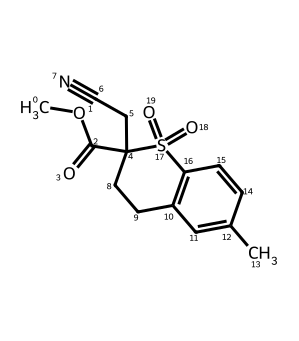 COC(=O)C1(CC#N)CCc2cc(C)ccc2S1(=O)=O